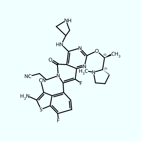 C[C@H](Oc1nc(NC2CNC2)c2c(=O)n(CCC#N)c(-c3ccc(F)c4sc(N)c(C#N)c34)c(F)c2n1)[C@@H]1CCCN1C